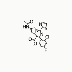 COC(=O)C1=C2C[C@H](NC(C)=O)CN2C(c2nccs2)=N[C@H]1c1ccc(F)cc1Cl